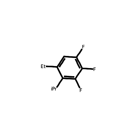 CCc1cc(F)c(F)c(F)c1C(C)C